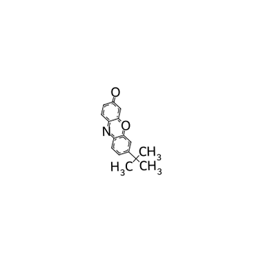 CC(C)(C)c1ccc2nc3ccc(=O)cc-3oc2c1